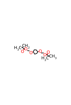 C=C(C)C(=O)OCCOC1CCC(OCCOC(=O)C(=C)C)CC1